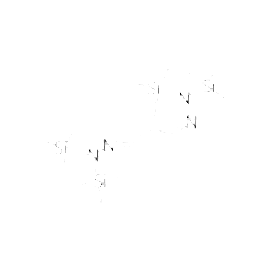 C[Si](C)(C)N(/N=C\C/C=N/N([Si](C)(C)C)[Si](C)(C)C)[Si](C)(C)C